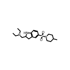 CCN(CC)CC1Cc2cc(S(=O)(=O)N3CCC(C)CC3)ccc2N1